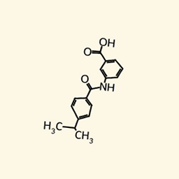 CC(C)c1ccc(C(=O)Nc2cccc(C(=O)O)c2)cc1